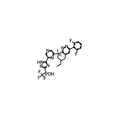 CCC1Cc2cc(-c3c(F)cccc3F)nnc2[C@@](C)(c2cncc(-c3nc([C@@H](O)C(F)(F)F)n[nH]3)n2)C1